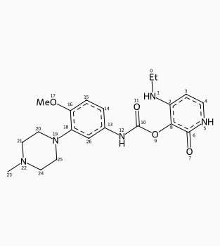 CCNc1cc[nH]c(=O)c1OC(=O)Nc1ccc(OC)c(N2CCN(C)CC2)c1